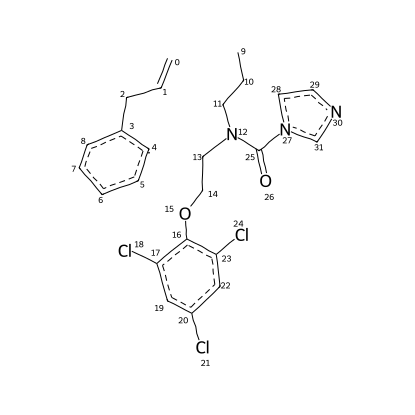 C=CCc1[c]cccc1.CCCN(CCOc1c(Cl)cc(Cl)cc1Cl)C(=O)n1ccnc1